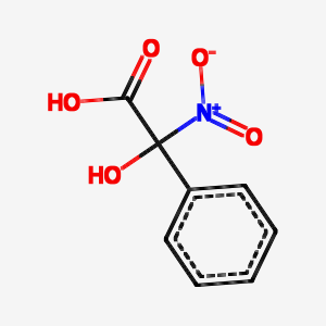 O=C(O)C(O)(c1ccccc1)[N+](=O)[O-]